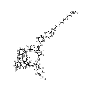 COCCOCCOCCOC[C@]1(F)CC[C@H](c2nccc(COc3ccc4cc3C[C@H](C(=O)O)Oc3ncnc5sc(-c6ccc(F)cc6)c(c35)-c3c(C)c(Cl)c(c(Cl)c3C)C[C@H](CN3CCN(C)CC3)CO4)n2)CC1